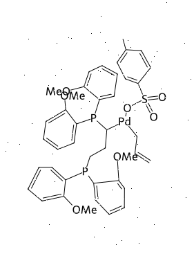 C=C[CH2][Pd]([O]S(=O)(=O)c1ccc(C)cc1)[CH](CCP(c1ccccc1OC)c1ccccc1OC)P(c1ccccc1OC)c1ccccc1OC